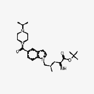 CC(CC(=N)C(=O)OC(C)(C)C)Cn1ccc2cc(C(=O)N3CCN(C(C)C)CC3)ccc21